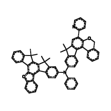 CC1(C)c2cc(N(c3ccccc3)c3ccc4c(c3)C(C)(C)c3c5c(c6oc7ccccc7c6c3-4)-c3ccccc3C5(C)C)ccc2-c2c1cc(-c1ccccn1)c1c2-c2ccccc2CO1